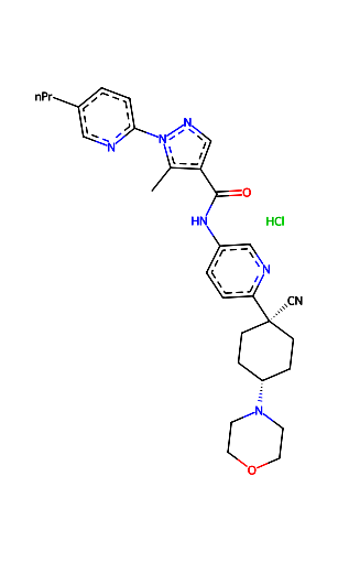 CCCc1ccc(-n2ncc(C(=O)Nc3ccc([C@]4(C#N)CC[C@@H](N5CCOCC5)CC4)nc3)c2C)nc1.Cl